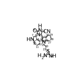 N#Cc1[nH]c(=O)n(-c2c[nH]c3ccccc23)c1-c1cn(CCCSC(=N)N)c2ccccc12